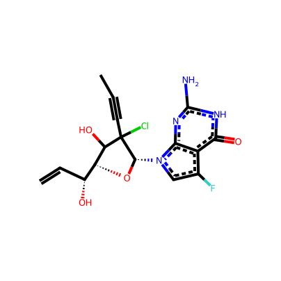 C=C[C@@H](O)[C@H]1O[C@@H](n2cc(F)c3c(=O)[nH]c(N)nc32)C(Cl)(C#CC)C1O